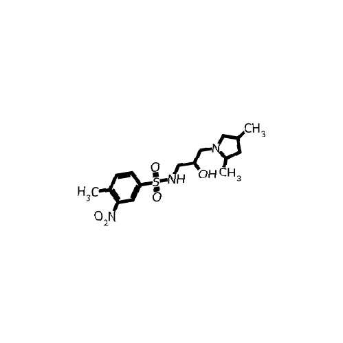 Cc1ccc(S(=O)(=O)NCC(O)CN2CC(C)CC2C)cc1[N+](=O)[O-]